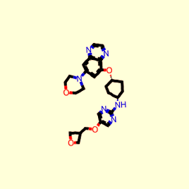 c1cnc2c(O[C@H]3CC[C@@H](Nc4ncc(OCC5COC5)cn4)CC3)cc(N3CCOCC3)cc2n1